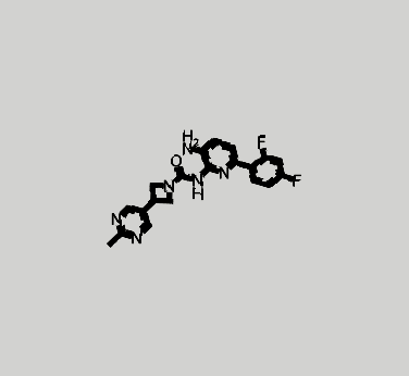 Cc1ncc(C2CN(C(=O)Nc3nc(-c4ccc(F)cc4F)ccc3N)C2)cn1